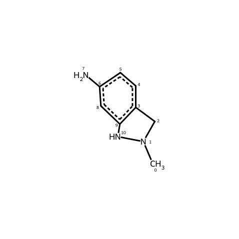 CN1Cc2ccc(N)cc2N1